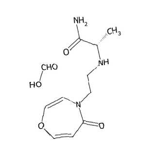 C[C@H](NCCN1C=COC=CC1=O)C(N)=O.O=CO